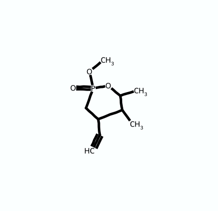 C#CC1CP(=O)(OC)OC(C)C1C